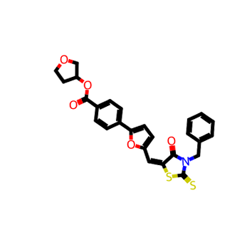 O=C(OC1CCOC1)c1ccc(-c2ccc(/C=C3/SC(=S)N(Cc4ccccc4)C3=O)o2)cc1